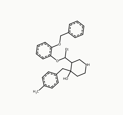 CCC(Oc1ccccc1OCc1ccccc1)C1CNCCC1(O)Cc1ccc(C)cc1